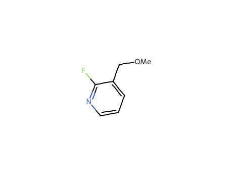 COCc1cccnc1F